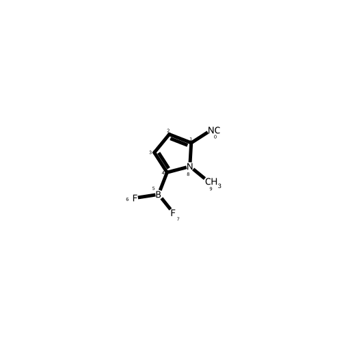 [C-]#[N+]c1ccc(B(F)F)n1C